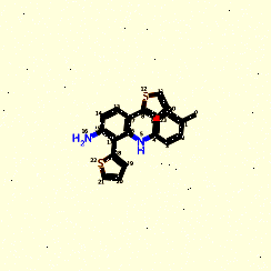 Cc1ccc(Nc2c(-c3cccs3)ccc(N)c2-c2cccs2)cc1